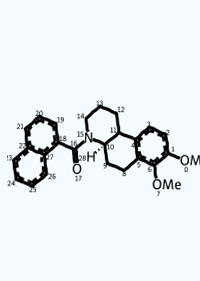 COc1ccc2c(c1OC)CC[C@@H]1C2CCCN1C(=O)c1cccc2ccccc12